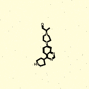 CC(C=O)N1CCN(c2ccc3c(C4CCNCC4)ncnc3c2)CC1